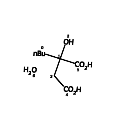 CCCCC(O)(CC(=O)O)C(=O)O.O